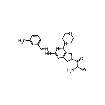 Cc1cccc(/C=N/Nc2nc3c(c(N4CCOCC4)n2)CN(C(=O)[C@H](N)C(C)C)C3)c1